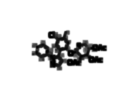 CC(=O)O[C@@H]1[C@@H](OC(C)=O)[C@@H](Oc2cc(C)c(Cl)cc2-c2ccnn2-c2ccccc2)SC[C@H]1OC(C)=O